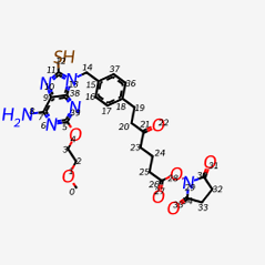 COCCOc1nc(N)c2nc(S)n(Cc3ccc(CCC(=O)CCCC(=O)ON4C(=O)CCC4=O)cc3)c2n1